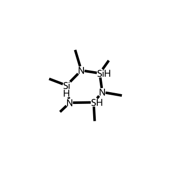 CN1[SiH](C)N(C)[SH](C)N(C)[SiH]1C